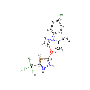 CC(C)[N+]1(c2ccc(F)cc2)CC=C1Oc1nnc(C(F)(F)F)s1